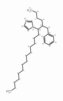 CCCCCCCCCCCCCCC(C(CCCC)Cc1ccccc1)n1ccnc1